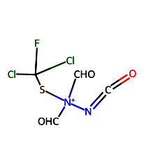 O=C=N[N+](C=O)(C=O)SC(F)(Cl)Cl